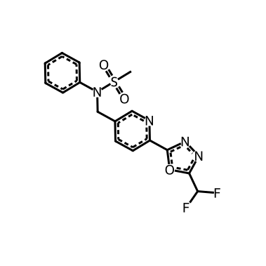 CS(=O)(=O)N(Cc1ccc(-c2nnc(C(F)F)o2)nc1)c1ccccc1